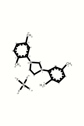 Cc1ccc(C)c(N2CCN(c3cc(C)ccc3C)C2)c1.F[B-](F)(F)F